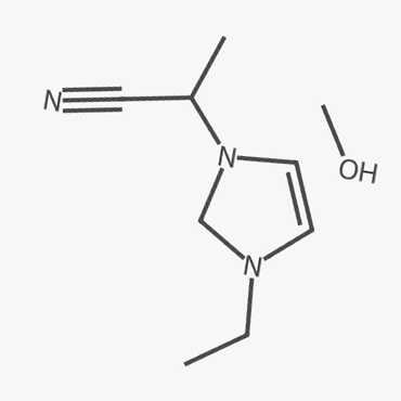 CCN1C=CN(C(C)C#N)C1.CO